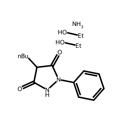 CCCCC1C(=O)NN(c2ccccc2)C1=O.CCO.CCO.N